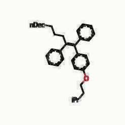 CCCCCCCCCCCCC/C(=C(\c1ccccc1)c1ccc(OCCC(C)C)cc1)c1ccccc1